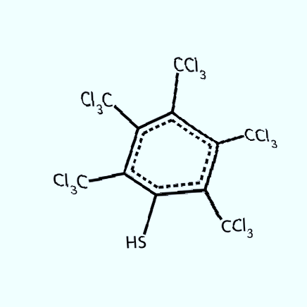 Sc1c(C(Cl)(Cl)Cl)c(C(Cl)(Cl)Cl)c(C(Cl)(Cl)Cl)c(C(Cl)(Cl)Cl)c1C(Cl)(Cl)Cl